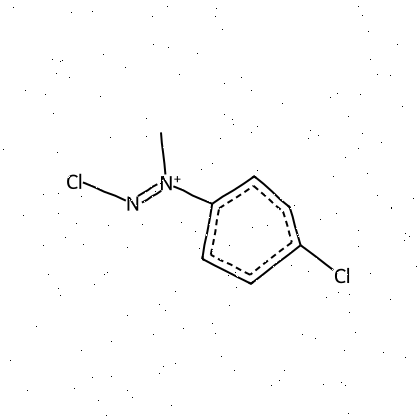 C[N+](=NCl)c1ccc(Cl)cc1